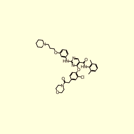 Cc1cccc(C)c1NC(=O)c1cnc(Nc2cccc(OCCCN3CCCCC3)c2)nc1Oc1ccc(CC(=O)N2CCOCC2)cc1Cl